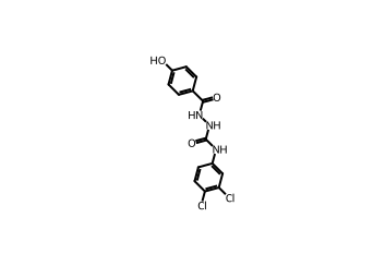 O=C(NNC(=O)c1ccc(O)cc1)Nc1ccc(Cl)c(Cl)c1